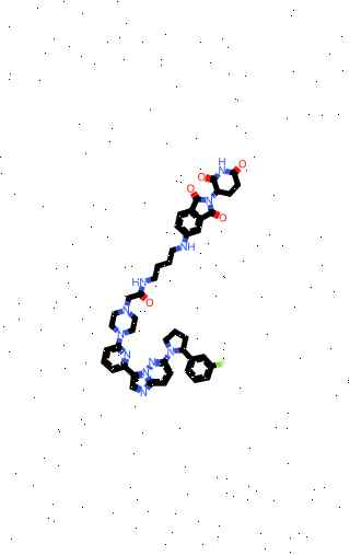 O=C(CN1CCN(c2cccc(-c3cnc4ccc(N5CCCC5c5cccc(F)c5)nn34)n2)CC1)NCCCCNc1ccc2c(c1)C(=O)N(C1CCC(=O)NC1=O)C2=O